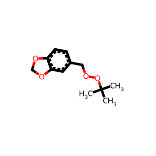 CC(C)(C)OOCc1ccc2c(c1)OCO2